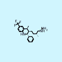 C[C@H](CC[C@@H]1[C@H](C)c2cc(C(F)(F)F)ccc2N[C@H]1C1C=CC=CC1)CNN